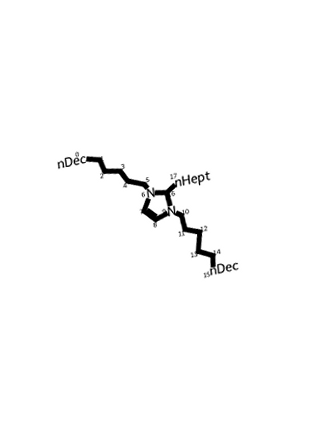 CCCCCCCCCCCCCCCN1C=CN(CCCCCCCCCCCCCCC)C1CCCCCCC